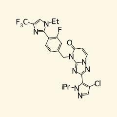 CCn1cc(C(F)(F)F)nc1-c1ccc(Cn2c(=O)ccn3nc(-c4c(Cl)cnn4C(C)C)nc23)cc1F